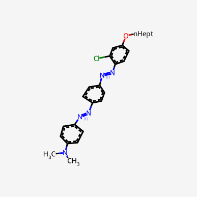 CCCCCCCOc1ccc(/N=N/c2ccc(/N=N/c3ccc(N(C)C)cc3)cc2)c(Cl)c1